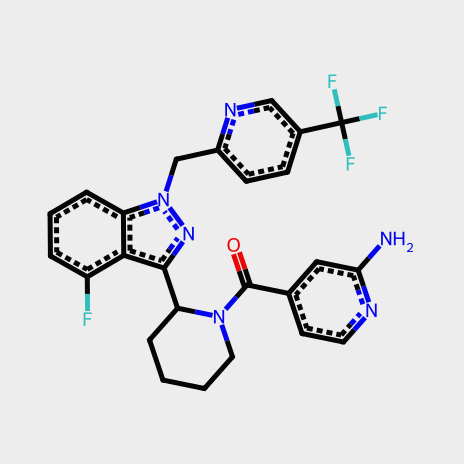 Nc1cc(C(=O)N2CCCCC2c2nn(Cc3ccc(C(F)(F)F)cn3)c3cccc(F)c23)ccn1